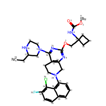 CC(C)(C)OC(=O)NC1(COc2nc3c(c(N4CCNC(CC#N)C4)n2)CCN(c2cccc4ccc(F)c(Cl)c24)C3)CCC1